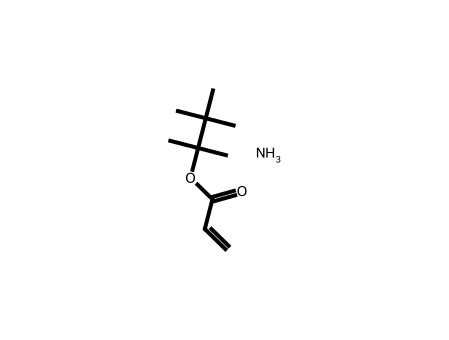 C=CC(=O)OC(C)(C)C(C)(C)C.N